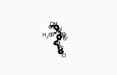 COCCn1c(Cc2ccc(-c3cccc(OCc4ccc(Cl)cc4F)n3)cc2[N+](=O)[O-])nc2ccc(C(=O)O)cc21